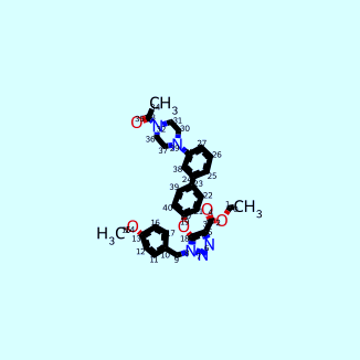 CCOC(=O)c1nnn(Cc2ccc(OC)cc2)c1Oc1ccc(-c2cccc(N3CCN(C(C)=O)CC3)c2)cc1